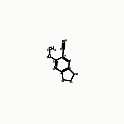 COc1nc2c(cc1C#N)CCC2